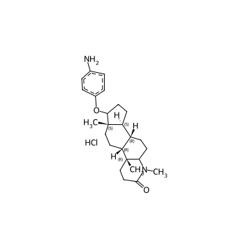 CN1C(=O)CC[C@@]2(C)C1CC[C@@H]1[C@H]2CC[C@]2(C)C(Oc3ccc(N)cc3)CC[C@@H]12.Cl